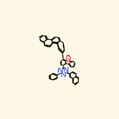 c1ccc(-c2nc(-c3ccc4ccccc4c3)nc(-c3ccc(-c4ccc5ccc6c7ccccc7ccc6c5c4)c4oc5ccccc5c34)n2)cc1